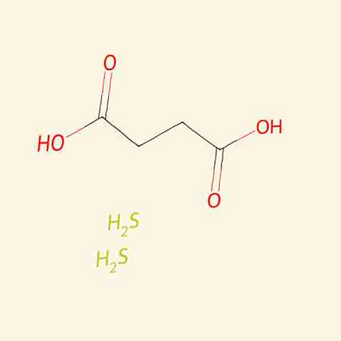 O=C(O)CCC(=O)O.S.S